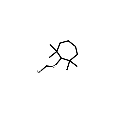 CC(=O)COC1C(C)(C)CCCCC1(C)C